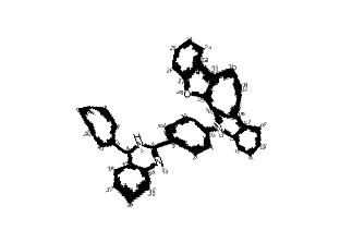 c1ccc(C2NC(c3ccc(-n4c5ccccc5c5ccc6c7ccccc7oc6c54)cc3)=Nc3ccccc32)cc1